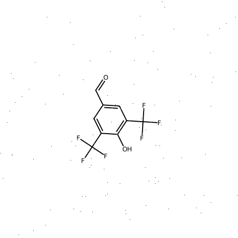 O=Cc1cc(C(F)(F)F)c(O)c(C(F)(F)F)c1